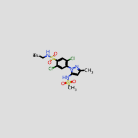 CCC(C)CNS(=O)(=O)c1cc(Cl)c(-n2nc(C)cc2NS(C)(=O)=O)cc1Cl